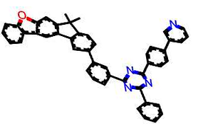 CC1(C)c2ccc(-c3cccc(-c4nc(-c5ccccc5)nc(-c5ccc(-c6cccnc6)cc5)n4)c3)cc2-c2cc3c(cc21)oc1ccccc13